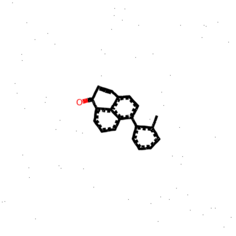 Cc1ccccc1-c1ccc2c3c(cccc13)C(=O)C=C2